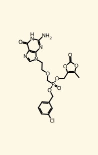 Cc1oc(=O)oc1COP(=O)(COCCn1cnc2c(=O)[nH]c(N)nc21)OCc1cccc(Cl)c1